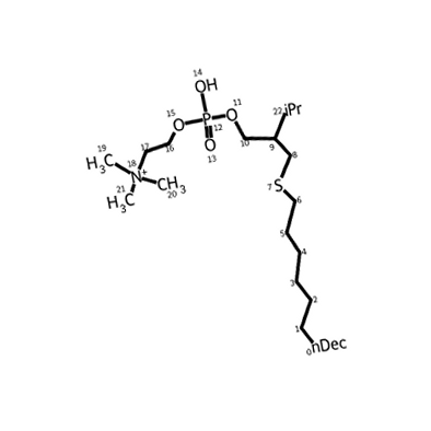 CCCCCCCCCCCCCCCCSCC(COP(=O)(O)OCC[N+](C)(C)C)C(C)C